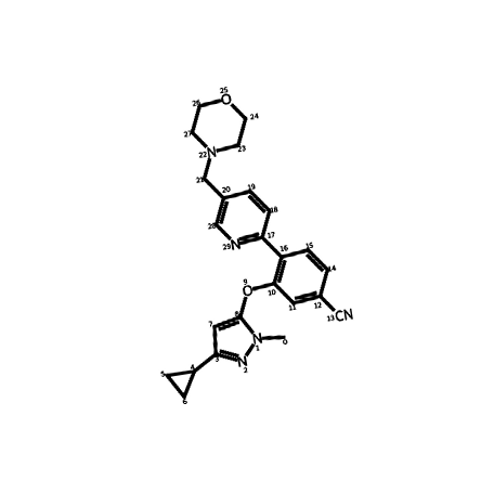 Cn1nc(C2CC2)cc1Oc1cc(C#N)ccc1-c1ccc(CN2CCOCC2)cn1